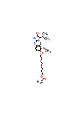 COc1c(OCCCCCCCCOC(C)=O)ccc2c1CN1C(=N2)NC(=O)C1C(C)C